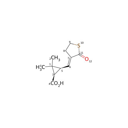 CC1(C)[C@H](C(=O)O)[C@@H]1/C=C1\CCSC1=O